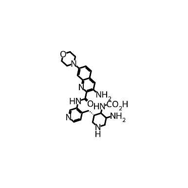 Nc1cc2ccc(N3CCOCC3)cc2nc1C(=O)Nc1cnccc1C[C@H]1CNCC(N)C1NC(=O)O